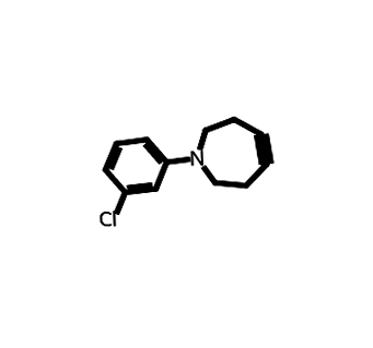 Clc1cccc(N2CCC#CCC2)c1